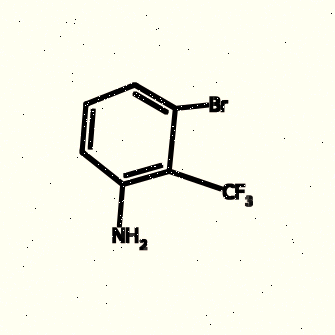 Nc1cccc(Br)c1C(F)(F)F